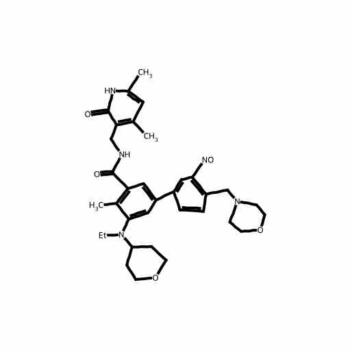 CCN(c1cc(-c2ccc(CN3CCOCC3)c(N=O)c2)cc(C(=O)NCc2c(C)cc(C)[nH]c2=O)c1C)C1CCOCC1